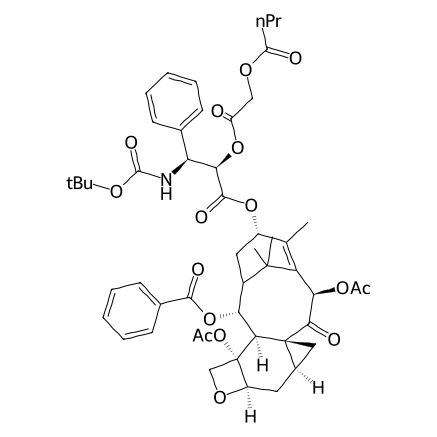 CCCC(=O)OCC(=O)O[C@@H](C(=O)O[C@H]1CC2[C@@H](OC(=O)c3ccccc3)[C@@H]3[C@]4(OC(C)=O)CO[C@@H]4C[C@@H]4C[C@@]43C(=O)[C@H](OC(C)=O)C(=C1C)C2(C)C)[C@@H](NC(=O)OC(C)(C)C)c1ccccc1